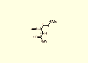 C#CC(CCSC)NC(=O)CCC